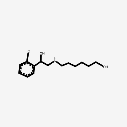 OCCCCCCNCC(O)c1ccccc1Cl